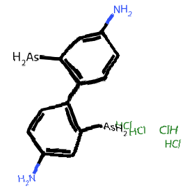 Cl.Cl.Cl.Cl.Nc1ccc(-c2ccc(N)cc2[AsH2])c([AsH2])c1